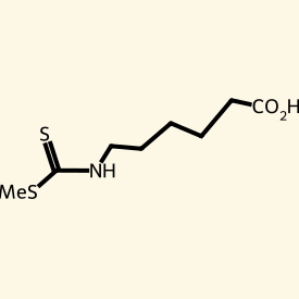 CSC(=S)NCCCCCC(=O)O